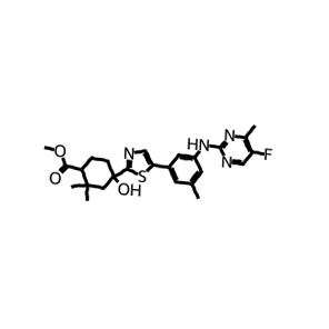 COC(=O)C1CCC(O)(c2ncc(-c3cc(C)cc(Nc4ncc(F)c(C)n4)c3)s2)CC1(C)C